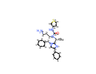 CC(C)(C)[C@H](c1nc(-c2ccccc2)cn1Cc1ccccc1)N(CCCN)C(=O)Nc1ccsc1